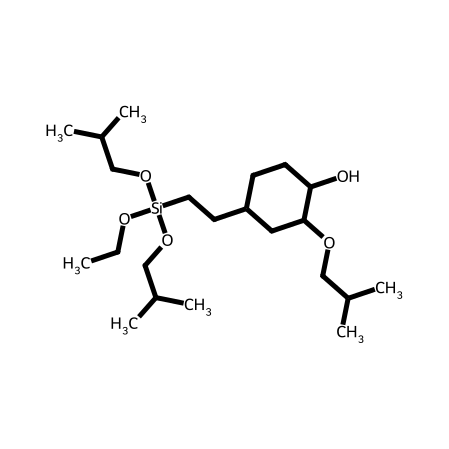 CCO[Si](CCC1CCC(O)C(OCC(C)C)C1)(OCC(C)C)OCC(C)C